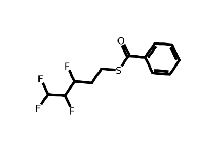 O=C(SCCC(F)C(F)C(F)F)c1ccccc1